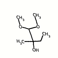 CCC(C)(O)C(OC)OC